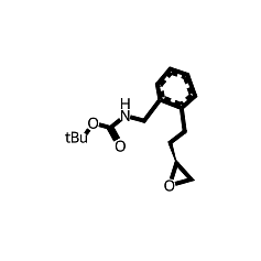 CC(C)(C)OC(=O)NCc1ccccc1CC[C@H]1CO1